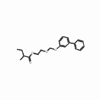 CCC(C)C(=O)OCCOCOc1cccc(-c2ccccc2)c1